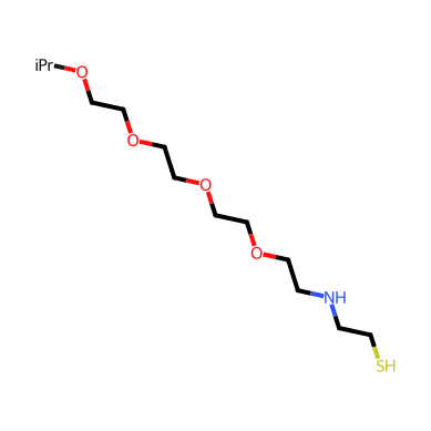 CC(C)OCCOCCOCCOCCNCCS